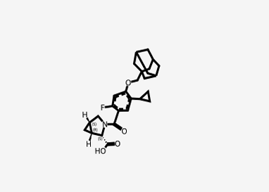 O=C(O)[C@@H]1[C@@H]2C[C@@H]2CN1C(=O)c1cc(C2CC2)c(OCC23CC4CC(CC(C4)C2)C3)cc1F